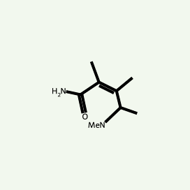 CNC(C)C(C)=C(C)C(N)=O